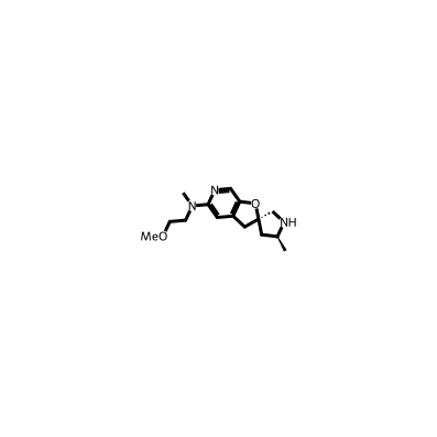 COCCN(C)c1cc2c(cn1)O[C@]1(CN[C@@H](C)C1)C2